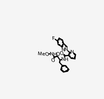 CONC(=O)C(=O)C(Cc1ccccc1)NC(=O)c1cccnc1-n1cc2ccc(F)cc2n1